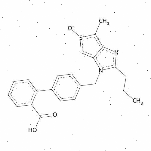 CCCc1nc2c(C)[s+]([O-])cc2n1Cc1ccc(-c2ccccc2C(=O)O)cc1